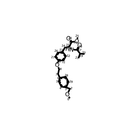 COCc1ccc(CCOc2ccc(CC(NC(=O)C(C)C)C(=O)OC)cc2)cc1